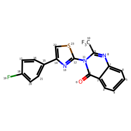 O=c1c2ccccc2nc(C(F)(F)F)n1-c1nc(-c2ccc(F)cc2)cs1